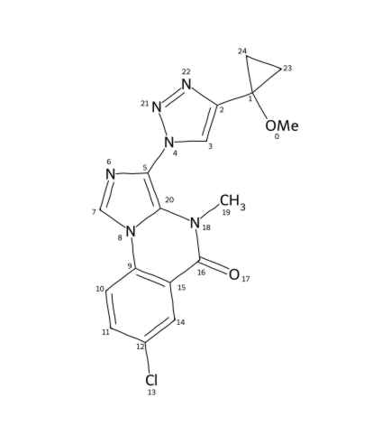 COC1(c2cn(-c3ncn4c5ccc(Cl)cc5c(=O)n(C)c34)nn2)CC1